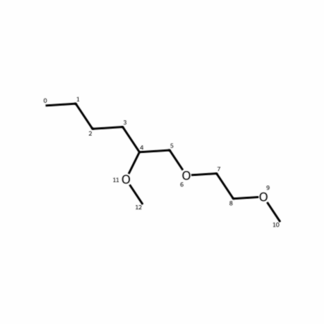 CCCCC(COCCOC)OC